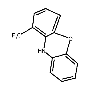 FC(F)(F)c1cccc2c1Nc1ccccc1O2